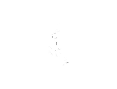 C=CC(=O)N1CC[C@H](n2cc(C#Cc3cc4nc(C5CC5)sc4cc3F)c3c(N)ncnc32)C1